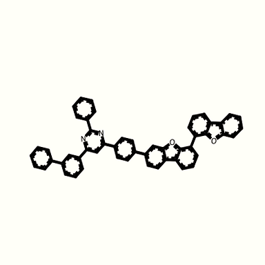 c1ccc(-c2cccc(-c3cc(-c4ccc(-c5ccc6c(c5)oc5c(-c7cccc8c7oc7ccccc78)cccc56)cc4)nc(-c4ccccc4)n3)c2)cc1